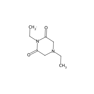 [CH2]CN1C(=O)CN(CC)CC1=O